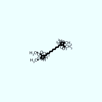 [2H]C([2H])([2H])C(C)(CCCCCCCCCCC(C)(C(C(=O)OCC)C(=O)OCC)C([2H])([2H])[2H])C(C(C)=O)C(C)=O